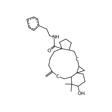 C=C1CCCC2(C(=O)NCCc3ccccc3)CCCC2CCC2CC23CCC(O)C(C)(C)C3CC1